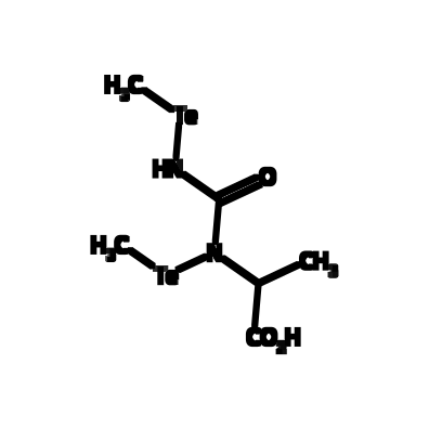 C[Te]NC(=O)N([Te]C)C(C)C(=O)O